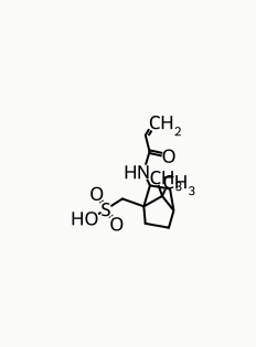 C=CC(=O)NC1CC2CCC1(CS(=O)(=O)O)C2(C)C